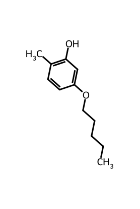 CCCCCOc1ccc(C)c(O)c1